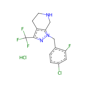 Cl.Fc1cc(Cl)ccc1Cn1nc(C(F)(F)F)c2c1CNCC2